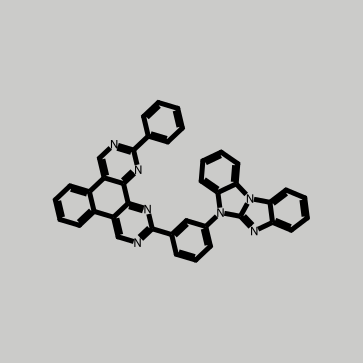 c1ccc(-c2ncc3c4ccccc4c4cnc(-c5cccc(-n6c7ccccc7n7c8ccccc8nc67)c5)nc4c3n2)cc1